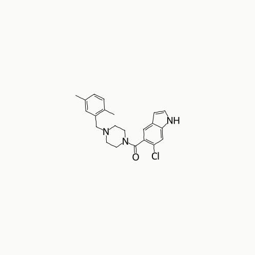 Cc1ccc(C)c(CN2CCN(C(=O)c3cc4cc[nH]c4cc3Cl)CC2)c1